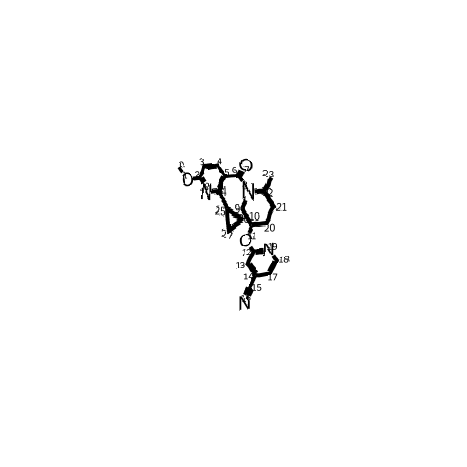 COc1ccc(C(=O)N2CC(Oc3cc(C#N)ccn3)CCC2C)c(C2CC2)n1